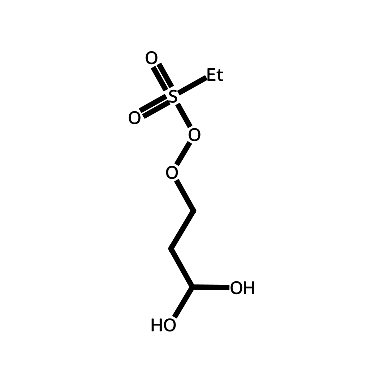 CCS(=O)(=O)OOCCC(O)O